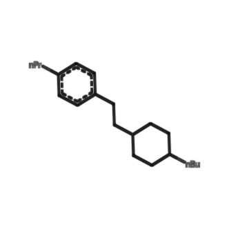 CCCCC1CCC(CCc2ccc(CCC)cc2)CC1